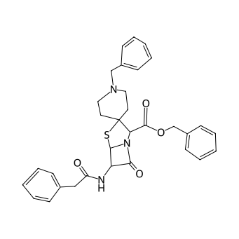 O=C(Cc1ccccc1)NC1C(=O)N2C1SC1(CCN(Cc3ccccc3)CC1)C2C(=O)OCc1ccccc1